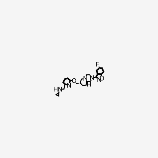 Fc1ccc2onc(N3CCN4C[C@H](COc5cccc(CNC6CC6)n5)CC[C@H]4C3)c2c1